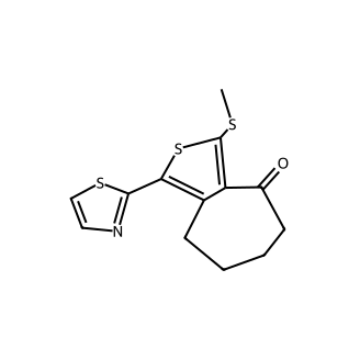 CSc1sc(-c2nccs2)c2c1C(=O)CCCC2